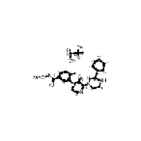 CONC(=O)c1ccc(C)c(-n2ccnc(N3CCNC(c4ccccc4)C3)c2=O)c1.O=C(O)C(F)(F)F